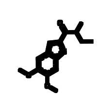 CCC(C)C(=O)c1cc2cc(OC)c(OC)cc2s1